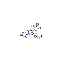 CCN1C(=O)/C(=C(\C=C2\Sc3ccccc3N2CC)CCC(=O)O)SC1=S